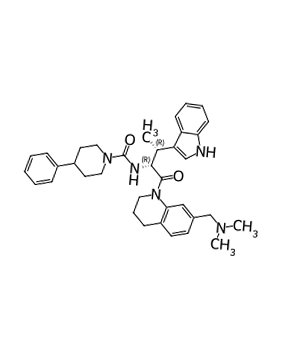 C[C@H](c1c[nH]c2ccccc12)[C@@H](NC(=O)N1CCC(c2ccccc2)CC1)C(=O)N1CCCc2ccc(CN(C)C)cc21